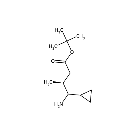 C[C@@H](CC(=O)OC(C)(C)C)C(N)C1CC1